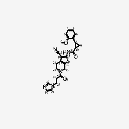 COc1ccccc1C1CC1C(=O)Nc1sc2c(c1C#N)CCN(C(=O)CCn1ccnc1)C2